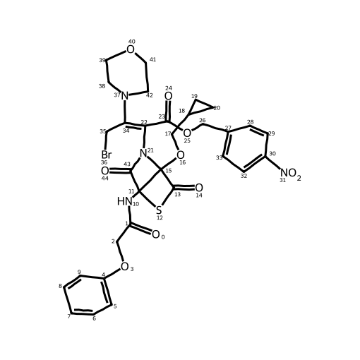 O=C(COc1ccccc1)NC12SC(=O)C1(OCC1CC1)N(C(C(=O)OCc1ccc([N+](=O)[O-])cc1)=C(CBr)N1CCOCC1)C2=O